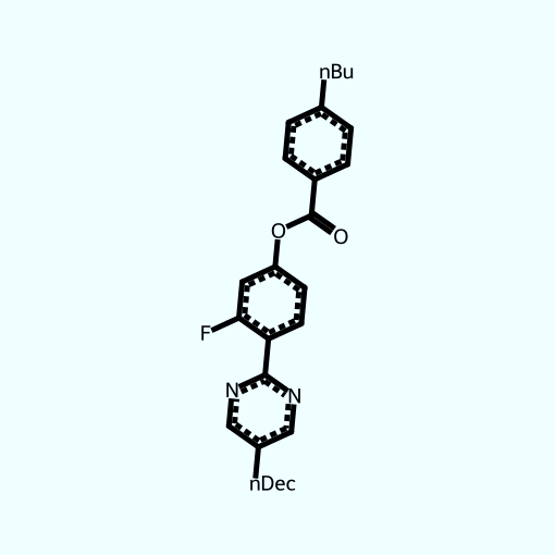 CCCCCCCCCCc1cnc(-c2ccc(OC(=O)c3ccc(CCCC)cc3)cc2F)nc1